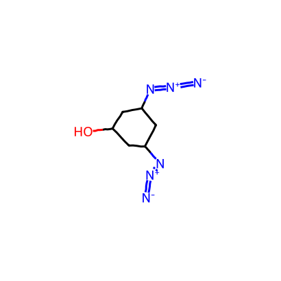 [N-]=[N+]=NC1CC(O)CC(N=[N+]=[N-])C1